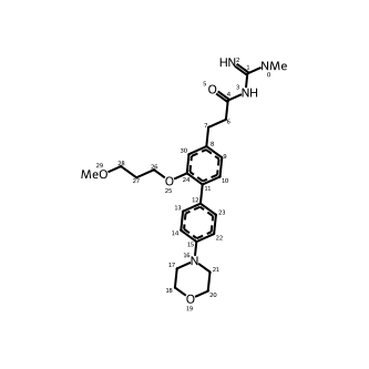 CNC(=N)NC(=O)CCc1ccc(-c2ccc(N3CCOCC3)cc2)c(OCCCOC)c1